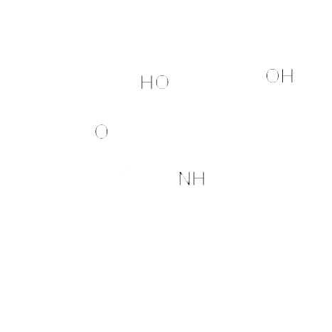 C=C(C)C(=O)NC(O)CO